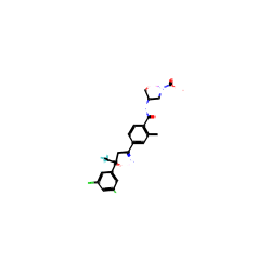 Cc1cc(C2=NOC(c3cc(Cl)cc(Cl)c3)(C(F)(F)F)C2)ccc1C(=O)NC1CON(C(=O)O)C1